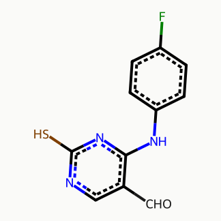 O=Cc1cnc(S)nc1Nc1ccc(F)cc1